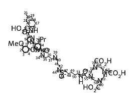 COc1cccc(OC)c1-c1cc(C(=O)NC2(C(=O)O)CCC3CC(C)CC2C3)nn1-c1ccc(C(=O)N(C)CCCN(C)CCCN(C)[S+]([O-])CCCCCNC(=O)CN2CCN(CC(=O)O)CCN(CC(=O)O)CCN(CC(=O)O)CC2)cc1C(C)C